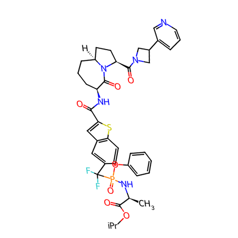 CC(C)OC(=O)[C@H](C)NP(=O)(Oc1ccccc1)C(F)(F)c1ccc2sc(C(=O)N[C@H]3CCC[C@H]4CC[C@@H](C(=O)N5CC(c6cccnc6)C5)N4C3=O)cc2c1